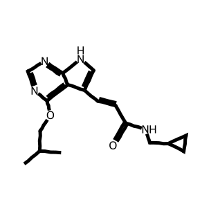 CC(C)COc1ncnc2[nH]cc(/C=C/C(=O)NCC3CC3)c12